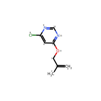 C=C(C)COc1cc(Cl)ncn1